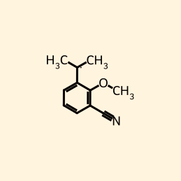 COc1c(C#N)cccc1[C](C)C